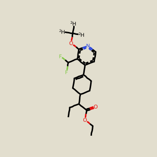 [2H]C([2H])([2H])Oc1nccc(C2=CCC(C(CC)C(=O)OCC)CC2)c1C(F)F